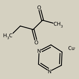 CCC(=O)C(C)=O.[Cu].c1cncnc1